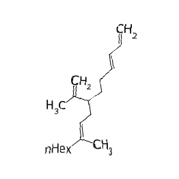 C=CC=CCCC(CC=C(C)CCCCCC)C(=C)C